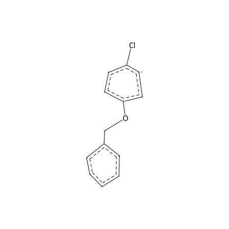 Clc1[c]cc(OCc2ccccc2)cc1